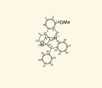 COc1ccccc1/C=N\C1C2CCN(CC2)C1C(c1ccccc1)c1ccccc1